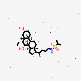 CC[C@H]1[C@@H](O)[C@@H]2[C@H](CC[C@]3(C)[C@@H]([C@H](C)CCCNS(=O)(=O)C(C)C)CC[C@@H]23)[C@@]2(C)CC[C@@H](O)C[C@@H]12